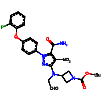 CC(C)(C)OC(=O)N1CC(N(CC=O)c2nn(-c3ccc(Oc4ccccc4F)cc3)c(C(N)=O)c2[N+](=O)[O-])C1